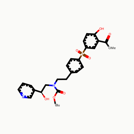 COC(=O)c1cc(S(=O)(=O)c2ccc(CCN(C[C@@H](O)c3cccnc3)C(=O)OC(C)(C)C)cc2)ccc1O